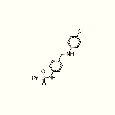 CC(C)S(=O)(=O)Nc1ccc(CNc2ccc(Cl)cc2)cc1